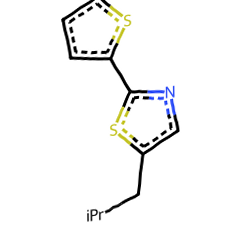 CC(C)Cc1cnc(-c2cccs2)s1